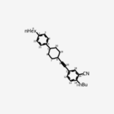 CCCCCCc1ccc(C2CCC(C#Cc3ccc(CCCC)c(C#N)c3)CC2)cc1